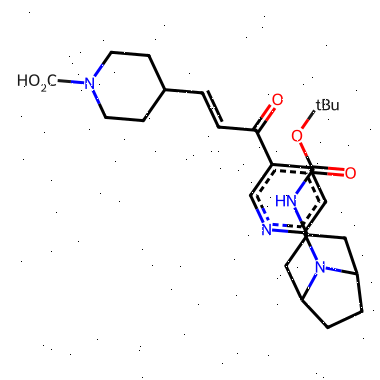 CC(C)(C)OC(=O)NC1CC2CCC(C1)N2c1ccc(C(=O)/C=C/C2CCN(C(=O)O)CC2)cn1